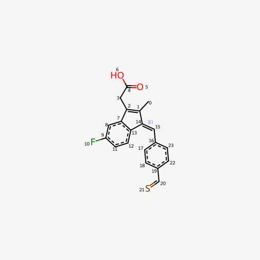 CC1=C(CC(=O)O)c2cc(F)ccc2/C1=C\c1ccc(C=S)cc1